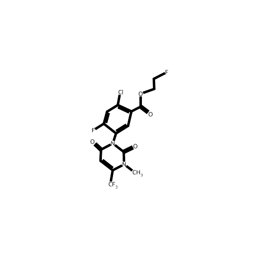 Cn1c(C(F)(F)F)cc(=O)n(-c2cc(C(=O)OCCF)c(Cl)cc2F)c1=O